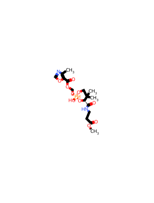 COC(=O)CCNC(=O)[C@@H]1O[PH](O)(OCOC(=O)c2ocnc2C)OCC1(C)C